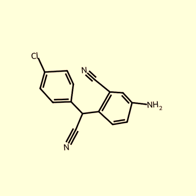 N#Cc1cc(N)ccc1C(C#N)c1ccc(Cl)cc1